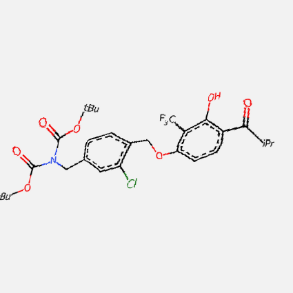 CC(C)C(=O)c1ccc(OCc2ccc(CN(C(=O)OC(C)(C)C)C(=O)OC(C)(C)C)cc2Cl)c(C(F)(F)F)c1O